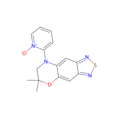 CC1(C)CN(c2cccc[n+]2[O-])c2cc3nsnc3cc2O1